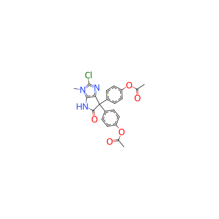 CC(=O)Oc1ccc(C2(c3ccc(OC(C)=O)cc3)C(=O)Nc3c2nc(Cl)n3C)cc1